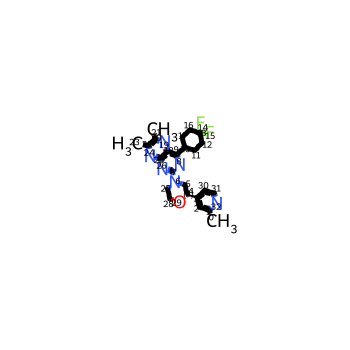 Cc1cc([C@@H]2CN(c3nc(C4CCC(F)(F)CC4)c4nc(C)c(C)nc4n3)CCO2)ccn1